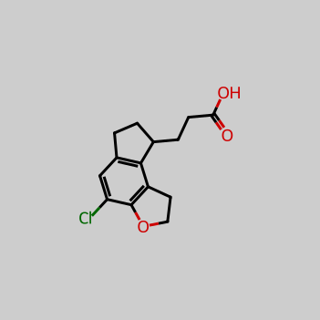 O=C(O)CCC1CCc2cc(Cl)c3c(c21)CCO3